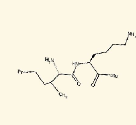 CC(C)CCC(C)[C@H](N)C(=O)N[C@@H](CCCCN)C(=O)C(C)(C)C